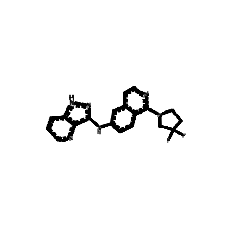 FC1(F)CCN(c2nccc3cc(Nc4n[nH]c5cccnc45)ccc23)C1